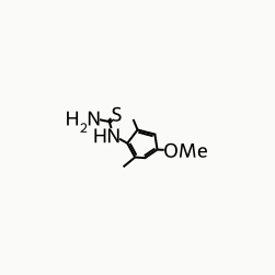 COc1cc(C)c(NC(N)=S)c(C)c1